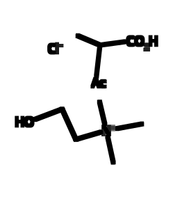 CC(=O)C(C)C(=O)O.C[N+](C)(C)CCO.[Cl-]